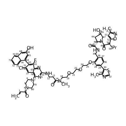 C=CC(=O)N1CCN(c2nc(NCCC(=O)N(C)CCOCCOCCOc3cc(-c4scnc4C)ccc3CNC(=O)[C@@H]3C[C@@H](O)CN3C(=O)[C@@H](c3cc(C)no3)C(C)C)nc3c(F)c(-c4cc(O)cc5ccccc45)c(Cl)cc23)CC1